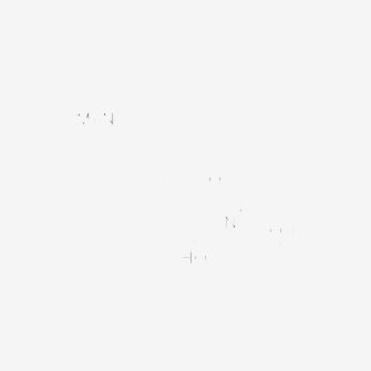 CNCCON(O)O